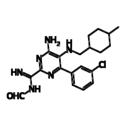 CC1CCC(CNc2c(N)nc(C(=N)NC=O)nc2-c2cccc(Cl)c2)CC1